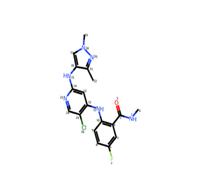 CNC(=O)c1cc(F)ccc1Nc1cc(Nc2cn(C)nc2C)ncc1Cl